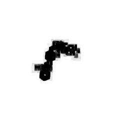 C[C@H](Cc1ccc(OCP(=O)(O)C2CCCCC2)cc1)NC(=O)OC(C)(C)C